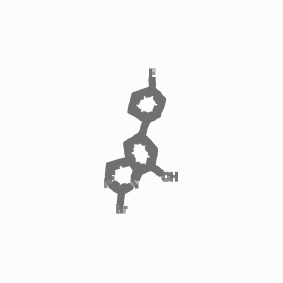 Oc1cc(-c2ccc(F)cc2)cc2cnc(Br)nc12